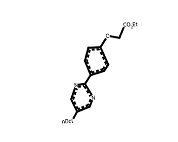 CCCCCCCCc1cnc(-c2ccc(OCC(=O)OCC)cc2)nc1